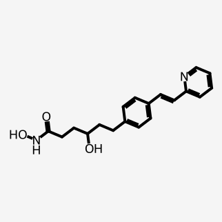 O=C(CCC(O)CCc1ccc(C=Cc2ccccn2)cc1)NO